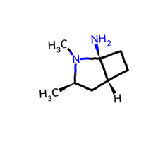 C[C@@H]1C[C@H]2CC[C@@]2(N)N1C